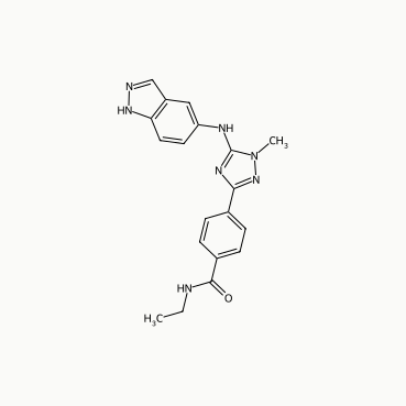 CCNC(=O)c1ccc(-c2nc(Nc3ccc4[nH]ncc4c3)n(C)n2)cc1